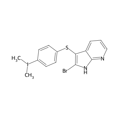 CI(C)c1ccc(Sc2c(Br)[nH]c3ncccc23)cc1